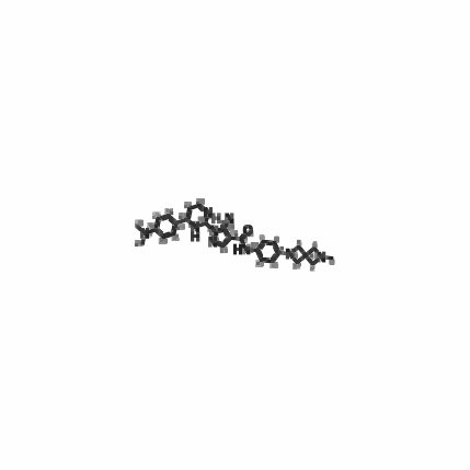 CN1CC2(C1)CN(c1ccc(NC(=O)c3cnn(C4N=CC=C(c5ccc(N(C)C)cc5)N4)c3N)cc1)C2